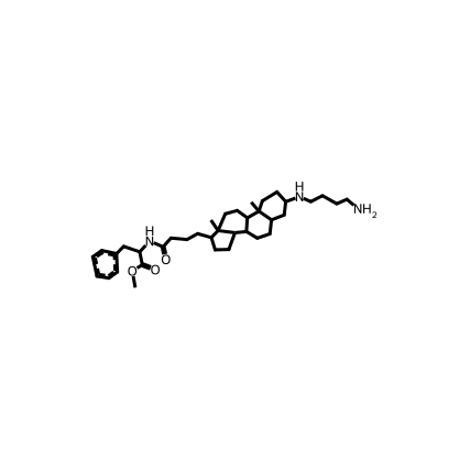 COC(=O)C(Cc1ccccc1)NC(=O)CCCC1CCC2C3CCC4CC(NCCCCN)CCC4(C)C3CCC12C